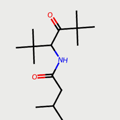 CC(C)CC(=O)NC(C(=O)C(C)(C)C)C(C)(C)C